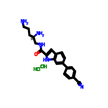 Cl.Cl.N#Cc1ccc(-c2ccc3cc(C(=O)NC[C@H](N)CCCN)[nH]c3c2)cc1